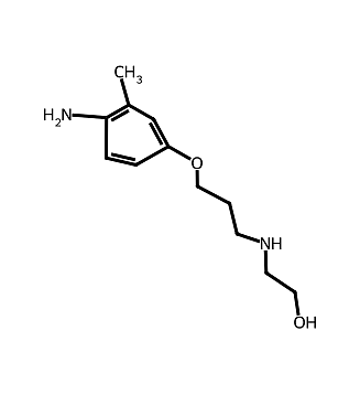 Cc1cc(OCCCNCCO)ccc1N